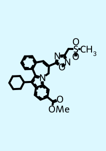 COC(=O)c1ccc2c(C3CCCCC3)c3n(c2c1)CC(c1nc(CS(C)(=O)=O)no1)=Cc1ccccc1-3